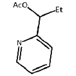 CCC(OC(C)=O)c1ccccn1